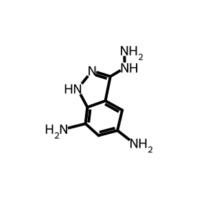 NNc1n[nH]c2c(N)cc(N)cc12